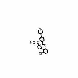 O=C(O)[C@@H]1CC[C@H](c2ccccc2Cl)N1C(=O)c1ccc(-c2ccncc2)cc1